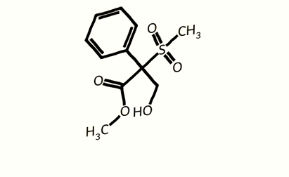 COC(=O)C(CO)(c1ccccc1)S(C)(=O)=O